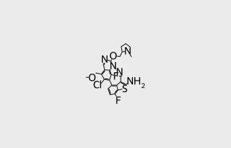 COCc1c(Cl)c(-c2ccc(F)c3sc(N)c(C#N)c23)c(F)c2nc(OCC3CCCN3C)ncc12